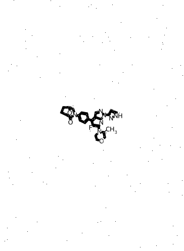 C[C@@H]1COCCN1c1nc2c(cnn2-c2cc[nH]n2)c(-c2ccc(N3CC4CCC(O4)C3=O)cc2)c1F